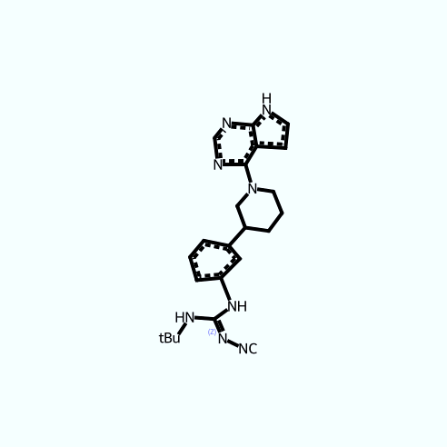 [C-]#[N+]/N=C(\Nc1cccc(C2CCCN(c3ncnc4[nH]ccc34)C2)c1)NC(C)(C)C